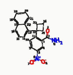 NC(=O)c1cc([N+](=O)[O-])ccc1C1(c2cccc3ccccc23)CCC1